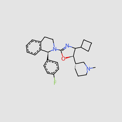 CN1CCC[C@H]([C@H]2OC(N3CCc4ccccc4[C@@H]3c3ccc(F)cc3)=NC2C2CCC2)C1